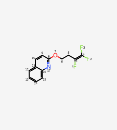 FC(F)=C(F)CCOc1ccc2ccccc2n1